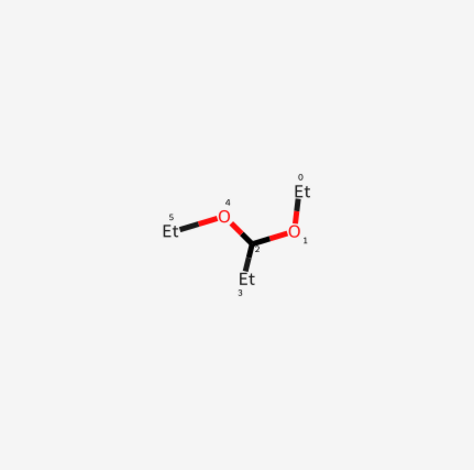 [CH2]COC(CC)OCC